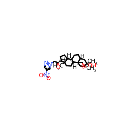 COC[C@]12CC[C@@](C)(O)C[C@@H]1CC[C@H]1[C@@H]3CC[C@H](C(=O)Cn4cc([N+](=O)[O-])cn4)[C@@]3(C)CC[C@@H]12